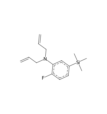 C=CCN(CC=C)c1cc([Si](C)(C)C)ccc1F